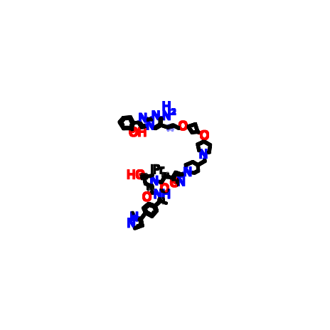 CC(C)[C@@H](C(=O)N1C[C@H](O)C[C@H]1C(=O)N[C@@H](C)c1ccc(-c2ccnn2C)cc1)c1cc(N2CCC(CN3CCC(OC4CC(OC/C=C/c5cn6cc(-c7ccccc7O)nc6nc5N)C4)CC3)CC2)no1